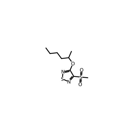 CCCCC(C)Oc1nsnc1S(C)(=O)=O